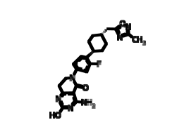 Cc1noc(C[C@H]2CC[C@H](c3ccc(N4CCc5nc(O)nc(N)c5C4=O)cc3F)CC2)n1